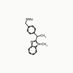 CNCc1ccc(C(C)c2nc3ccccc3n2C)cc1